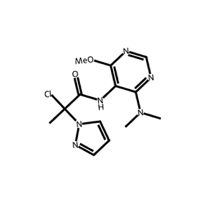 COc1ncnc(N(C)C)c1NC(=O)C(C)(Cl)n1cccn1